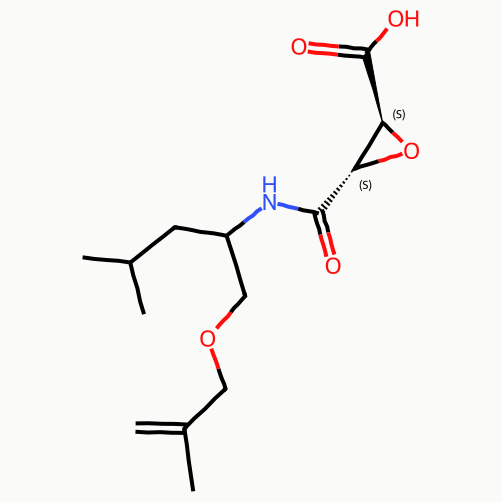 C=C(C)COCC(CC(C)C)NC(=O)[C@H]1O[C@@H]1C(=O)O